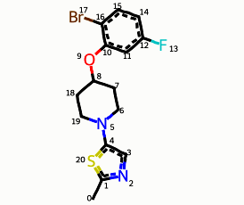 Cc1ncc(N2CCC(Oc3cc(F)ccc3Br)CC2)s1